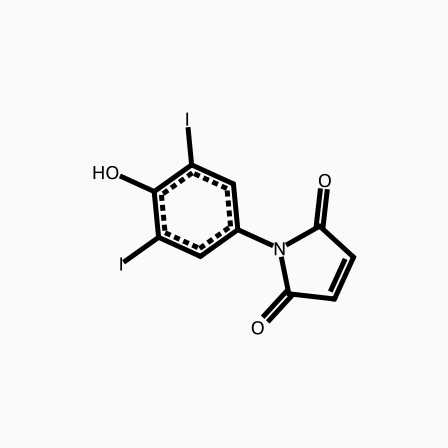 O=C1C=CC(=O)N1c1cc(I)c(O)c(I)c1